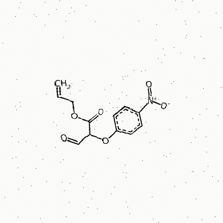 C=CCOC(=O)C(C=O)Oc1ccc([N+](=O)[O-])cc1